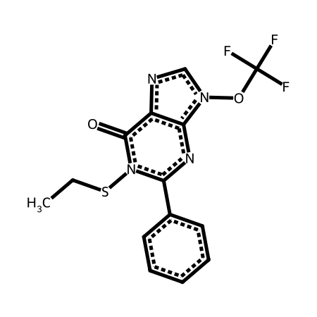 CCSn1c(-c2ccccc2)nc2c(ncn2OC(F)(F)F)c1=O